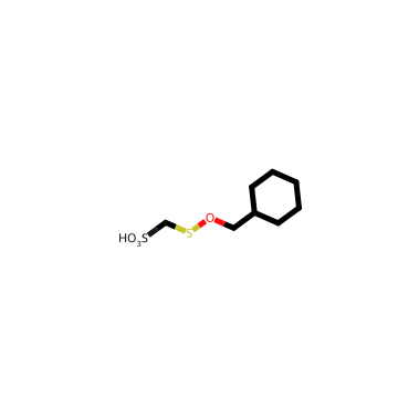 O=S(=O)(O)CSOCC1CCCCC1